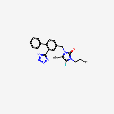 CCCCc1c(F)n(CCC(C)C)c(=O)n1Cc1ccc(-c2ccccc2)c(-c2nnn[nH]2)c1